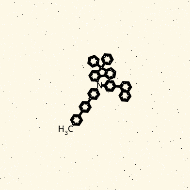 Cc1ccc(-c2ccc(-c3ccc(N(c4ccc(-c5cccc6ccccc56)cc4)c4cccc5c4-c4ccccc4C5(c4ccccc4)c4ccccc4)cc3)cc2)cc1